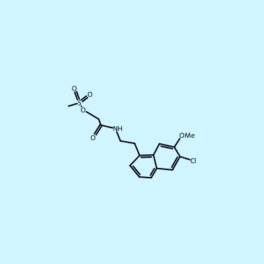 COc1cc2c(CCNC(=O)COS(C)(=O)=O)cccc2cc1Cl